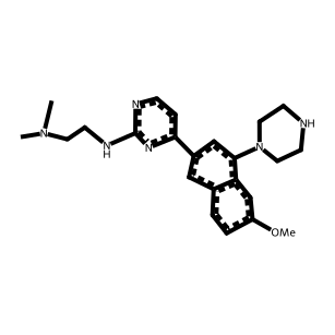 COc1ccc2cc(-c3ccnc(NCCN(C)C)n3)cc(N3CCNCC3)c2c1